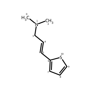 CN(C)CC=Cc1cccs1